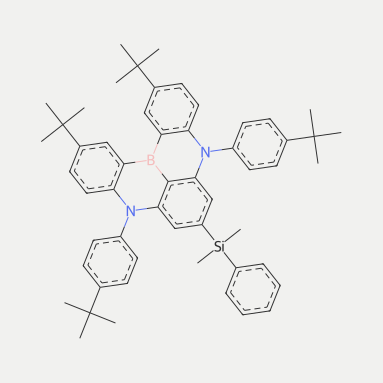 CC(C)(C)c1ccc(N2c3ccc(C(C)(C)C)cc3B3c4cc(C(C)(C)C)ccc4N(c4ccc(C(C)(C)C)cc4)c4cc([Si](C)(C)c5ccccc5)cc2c43)cc1